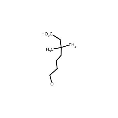 CC(C)(CCCCO)CC(=O)O